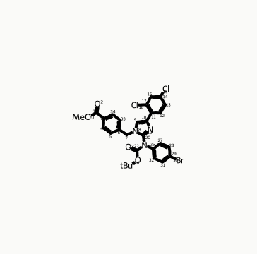 COC(=O)c1ccc(Cn2cc(-c3ccc(Cl)cc3Cl)nc2N(C(=O)OC(C)(C)C)c2ccc(Br)cc2)cc1